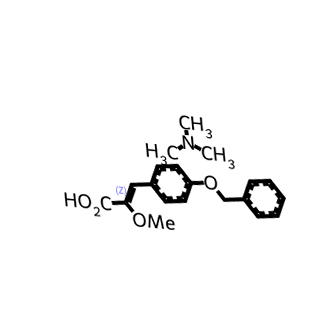 CN(C)C.CO/C(=C\c1ccc(OCc2ccccc2)cc1)C(=O)O